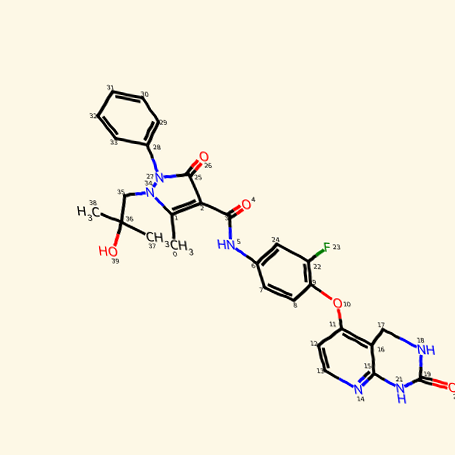 Cc1c(C(=O)Nc2ccc(Oc3ccnc4c3CNC(=O)N4)c(F)c2)c(=O)n(-c2ccccc2)n1CC(C)(C)O